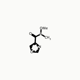 CON(C)C(=O)c1cocn1